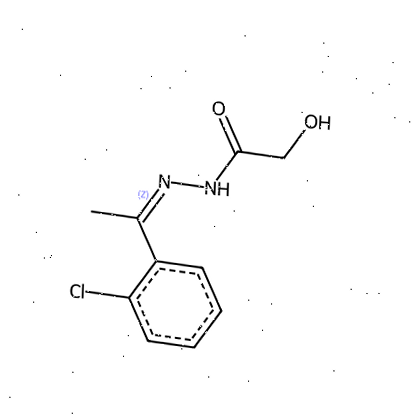 C/C(=N/NC(=O)CO)c1ccccc1Cl